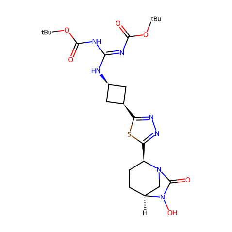 CC(C)(C)OC(=O)/N=C(\NC(=O)OC(C)(C)C)N[C@H]1C[C@@H](c2nnc([C@@H]3CC[C@H]4CN3C(=O)N4O)s2)C1